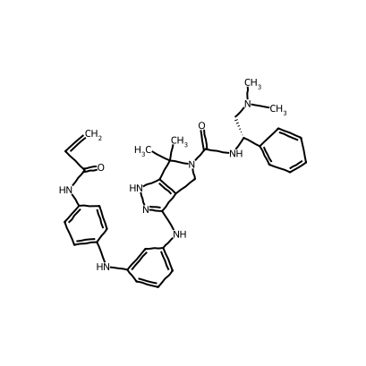 C=CC(=O)Nc1ccc(Nc2cccc(Nc3n[nH]c4c3CN(C(=O)N[C@H](CN(C)C)c3ccccc3)C4(C)C)c2)cc1